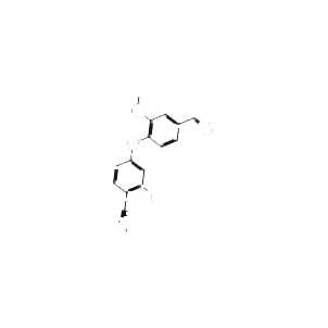 COc1cc(C=O)ccc1Oc1ccc(C#N)c(Cl)c1